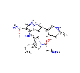 CC[C@H]1CN(C(=O)CC#N)C[C@H]1Nc1c(C(N)=O)cnn2cc(-c3ccc(C)nc3)cc12